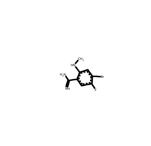 CNc1cc(Br)c(F)cc1C(=N)N